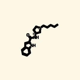 CCCCCN1CC[C@H](NC(=O)c2cc3ccccc3[nH]2)C1